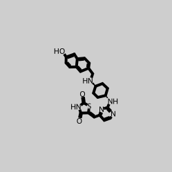 O=C1NC(=O)C(=Cc2ccnc(N[C@H]3CC[C@H](NCc4ccc5cc(O)ccc5c4)CC3)n2)S1